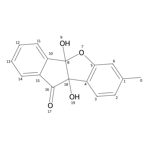 Cc1ccc2c(c1)OC1(O)c3ccccc3C(=O)C21O